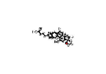 C[C@H]1C[C@H]2[C@@H]3C[C@H](F)C4=Cc5nn(CCCC(=O)O)cc5C[C@]4(C)[C@@]3(F)[C@@H](O)C[C@]2(C)[C@]12OCOC21COCO1